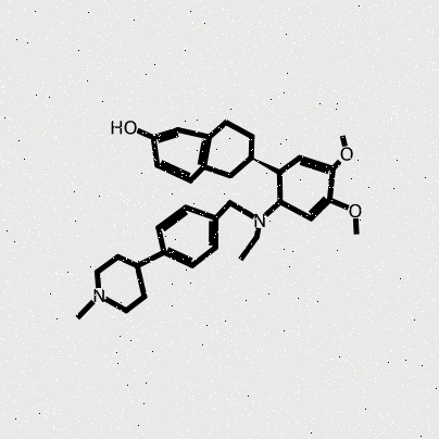 CCN(Cc1ccc(C2CCN(C)CC2)cc1)C1C=C(OC)C(OC)=CC1[C@@H]1CCc2cc(O)ccc2C1